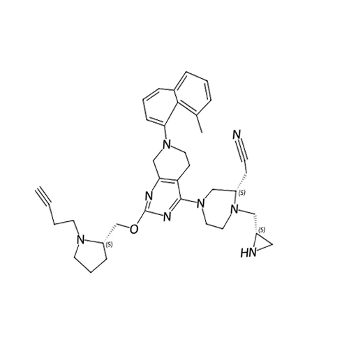 C#CCCN1CCC[C@H]1COc1nc2c(c(N3CCN(C[C@@H]4CN4)[C@@H](CC#N)C3)n1)CCN(c1cccc3cccc(C)c13)C2